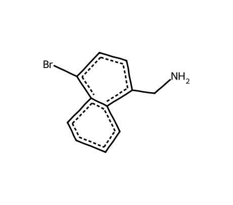 NCc1ccc(Br)c2ccccc12